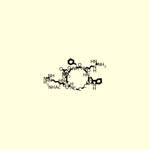 CC(=O)N[C@@H](CCCNC(=N)N)C(=O)N[C@H]1CC(=O)NCCCCCNC(=O)[C@H](Cc2c[nH]c3ccccc23)NC(=O)[C@H](CCCNC(=N)N)NC(=O)[C@@H](Cc2ccccc2)NC(=O)[C@H](CC(N)=O)NC1=O